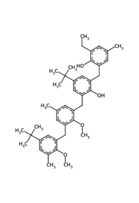 CCc1cc(C)cc(Cc2cc(C(C)(C)C)cc(Cc3cc(C)cc(Cc4cc(C(C)(C)C)cc(C)c4OC)c3OC)c2O)c1O